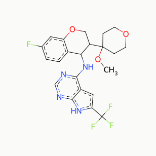 COC1(C2COc3cc(F)ccc3C2Nc2ncnc3[nH]c(C(F)(F)F)cc23)CCOCC1